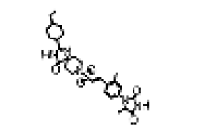 CCC1CCC(C2=NC3(CCN(S(=O)(=O)/C=C/c4ccc(N5C(=O)NC(=O)C5C)cc4C)CC3)C(=O)N2)CC1